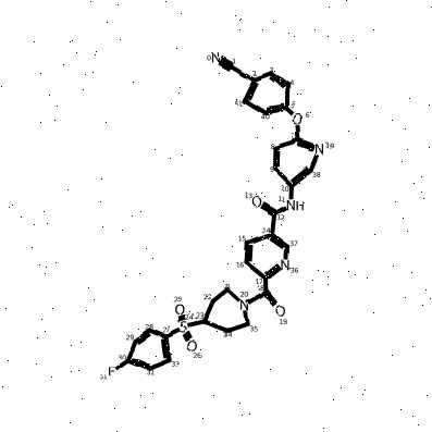 N#Cc1ccc(Oc2ccc(NC(=O)c3ccc(C(=O)N4CCC(S(=O)(=O)c5ccc(F)cc5)CC4)nc3)cn2)cc1